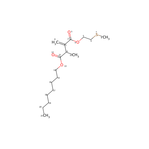 C=C(C(=O)OCCSC)C(C)C(=O)OCCCCCCCC